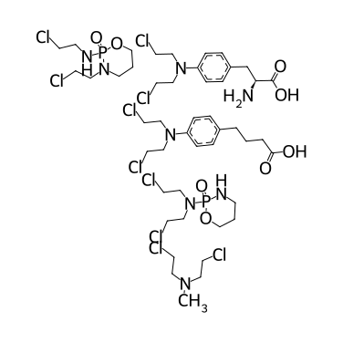 CN(CCCl)CCCl.N[C@@H](Cc1ccc(N(CCCl)CCCl)cc1)C(=O)O.O=C(O)CCCc1ccc(N(CCCl)CCCl)cc1.O=P1(N(CCCl)CCCl)NCCCO1.O=P1(NCCCl)OCCCN1CCCl